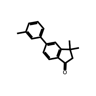 Cc1cccc(-c2ccc3c(c2)C(C)(C)CC3=O)c1